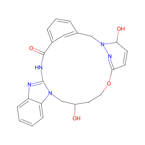 O=C1Nc2nc3ccccc3n2CC(O)CCOC2=NN(Cc3cccc1c3)C(O)C=C2